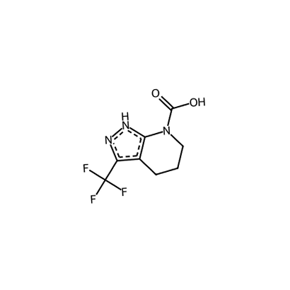 O=C(O)N1CCCc2c(C(F)(F)F)n[nH]c21